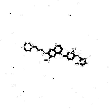 COc1cc2c(Nc3ccc(Sc4nccn4C)c(Cl)c3)ccnc2cc1OCCCN1CCOCC1